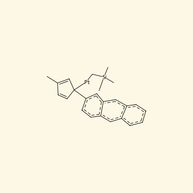 CC1=C[C]([Pt][CH2][Si](C)(C)C)(c2ccc3cc4ccccc4cc3c2)C=C1